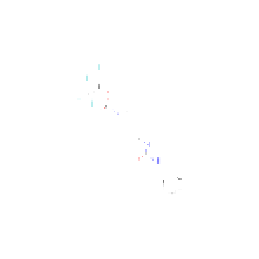 O=C(NCCC1CN(C(=O)OC(C(F)(F)F)C(F)(F)F)C1)NCc1ccccc1